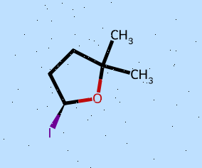 CC1(C)CC[C@H](I)O1